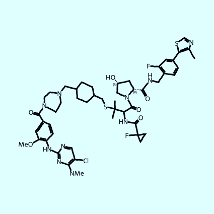 CNc1nc(Nc2ccc(C(=O)N3CCN(CC4CCC(CSC(C)(C)C(NC(=O)C5(F)CC5)C(=O)N5C[C@H](O)C[C@@H]5C(=O)NCc5ccc(-c6scnc6C)cc5F)CC4)CC3)cc2OC)ncc1Cl